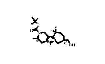 C[C@@H]1Cc2nn3c(c2CN1C(=O)OC(C)(C)C)C(F)(F)CC[C@@](F)(CO)C3